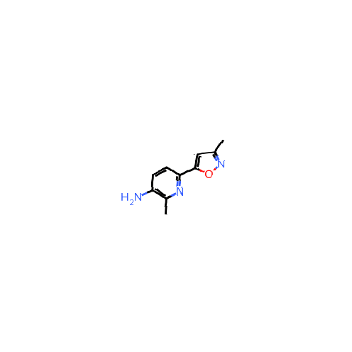 Cc1[c]c(-c2ccc(N)c(C)n2)on1